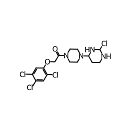 O=C(COc1cc(Cl)c(Cl)cc1Cl)N1CCN(C2CCNC(Cl)N2)CC1